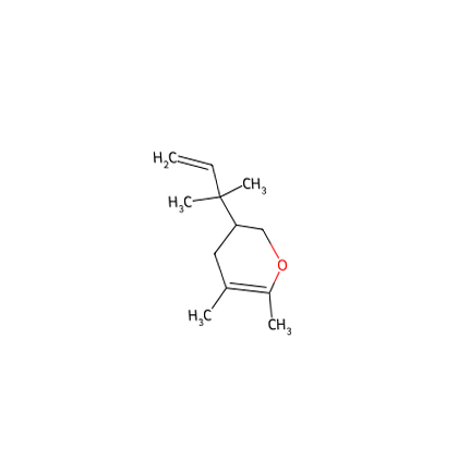 C=CC(C)(C)C1COC(C)=C(C)C1